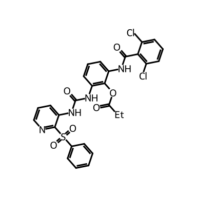 CCC(=O)Oc1c(NC(=O)Nc2cccnc2S(=O)(=O)c2ccccc2)cccc1NC(=O)c1c(Cl)cccc1Cl